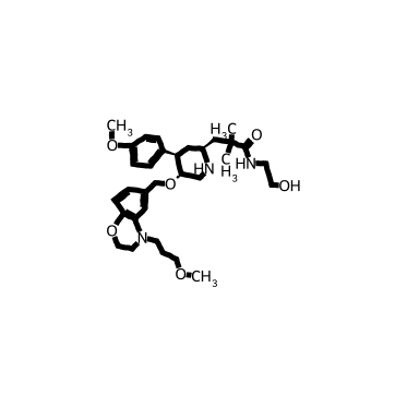 COCCCN1CCOc2ccc(CO[C@H]3CN[C@H](CC(C)(C)C(=O)NCCO)C[C@@H]3c3ccc(OC)cc3)cc21